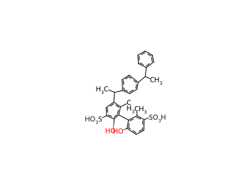 Cc1c(S(=O)(=O)O)ccc(O)c1-c1c(C)c(C(C)c2ccc(C(C)c3ccccc3)cc2)cc(S(=O)(=O)O)c1O